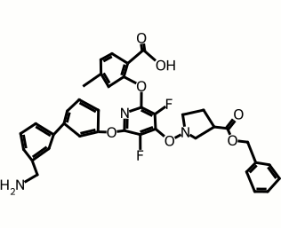 Cc1ccc(C(=O)O)c(Oc2nc(Oc3cccc(-c4cccc(CN)c4)c3)c(F)c(ON3CCC(C(=O)OCc4ccccc4)C3)c2F)c1